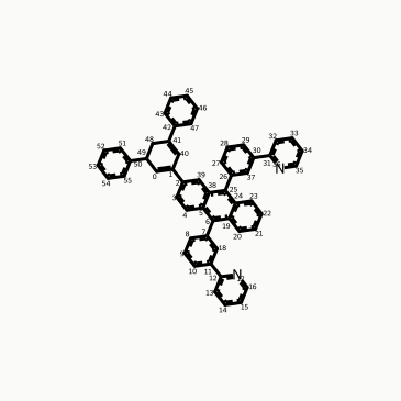 C1=C(c2ccc3c(-c4cccc(-c5ccccn5)c4)c4ccccc4c(-c4cccc(-c5ccccn5)c4)c3c2)C=C(c2ccccc2)CC1c1ccccc1